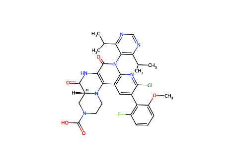 COc1cccc(F)c1-c1cc2c3c(c(=O)n(-c4c(C(C)C)ncnc4C(C)C)c2nc1Cl)NC(=O)[C@H]1CN(C(=O)O)CCN31